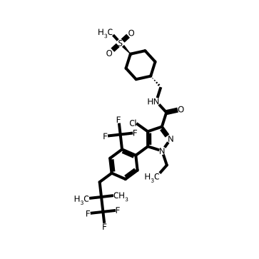 CCn1nc(C(=O)NC[C@H]2CC[C@H](S(C)(=O)=O)CC2)c(Cl)c1-c1ccc(CC(C)(C)C(F)(F)F)cc1C(F)(F)F